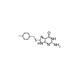 Cc1ccc(CSc2nc3c(=O)[nH]c(N)nc3[nH]2)cc1